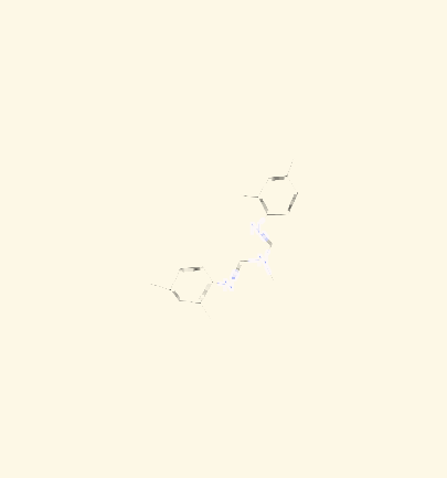 Cc1ccc(N=CN(C)/C=N/c2ccc(C)cc2C)c(C)c1